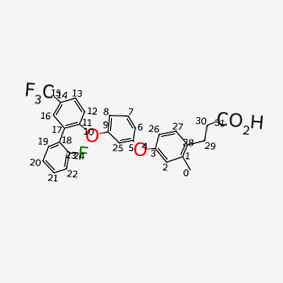 Cc1cc(Oc2cccc(Oc3ccc(C(F)(F)F)cc3-c3ccccc3F)c2)ccc1CCC(=O)O